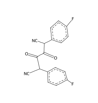 N#CC(C(=O)C(=O)C(C#N)c1ccc(F)cc1)c1ccc(F)cc1